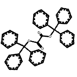 O=C(OC(c1ccccc1)(c1ccccc1)c1ccccc1)C(=O)OC(c1ccccc1)(c1ccccc1)c1ccccc1